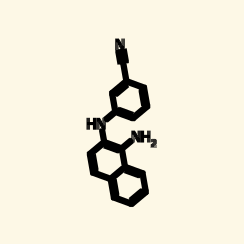 N#Cc1cccc(Nc2ccc3ccccc3c2N)c1